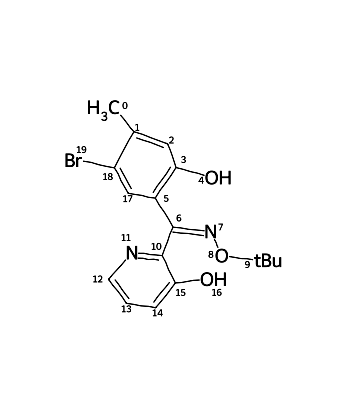 Cc1cc(O)c(C(=NOC(C)(C)C)c2ncccc2O)cc1Br